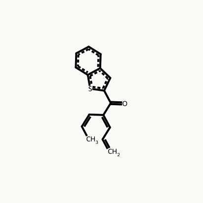 C=C/C=C(\C=C/C)C(=O)c1cc2ccccc2s1